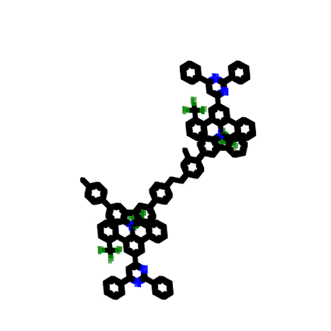 Cc1ccc(-c2ccc3c(c2)c2cc(-c4ccc(CCc5ccc(-c6ccc7c(c6)c6ccccc6n7-c6c(-c7ccccc7C(F)(F)F)cc(-c7cc(-c8ccccc8)nc(-c8ccccc8)n7)cc6-c6ccccc6C(F)(F)F)c(C)c5)cc4)ccc2n3-c2c(-c3ccccc3C(F)(F)F)cc(-c3cc(-c4ccccc4)nc(-c4ccccc4)n3)cc2-c2ccccc2C(F)(F)F)cc1